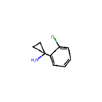 NC1(c2ccccc2Cl)CC1